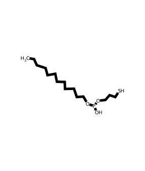 CCCCCCCCCCCCOP(O)OCCCS